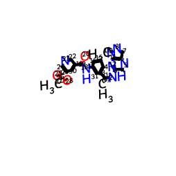 C[C@H](Nc1cnc2cnn(C)c2n1)c1cccc(NC(=O)c2cncc(S(C)(=O)=O)c2)c1